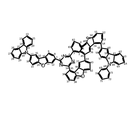 c1ccc(-c2nc(-c3ccc4c(c3)oc3ccc(-n5c6ccccc6c6ccccc65)cc34)nc(-c3cccc4oc5ccc(-c6ccc7sc8cccc(-c9ccc%10c(c9)c9ccccc9n%10-c9ccccc9)c8c7c6)cc5c34)n2)cc1